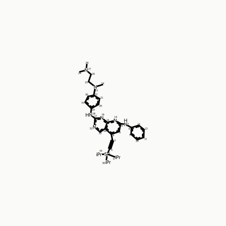 CC(C)[Si](C#Cc1cc(Nc2ccccc2)nc2nc(Nc3ccc(N(C)CCN(C)C)cc3)ncc12)(C(C)C)C(C)C